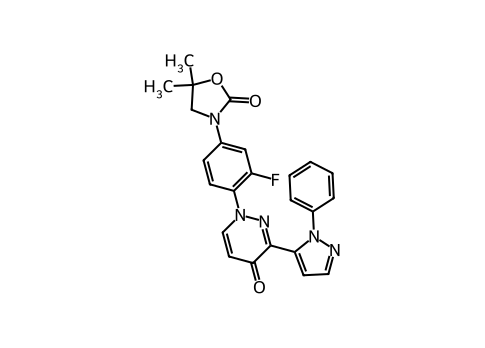 CC1(C)CN(c2ccc(-n3ccc(=O)c(-c4ccnn4-c4ccccc4)n3)c(F)c2)C(=O)O1